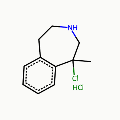 CC1(Cl)CNCCc2ccccc21.Cl